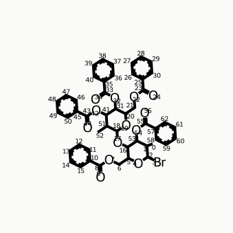 CC1C(Br)OC(COC(=O)c2ccccc2)C(OC2OC(COC(=O)c3ccccc3)C(OC(=O)c3ccccc3)C(OC(=O)c3ccccc3)C2C)C1OC(=O)c1ccccc1